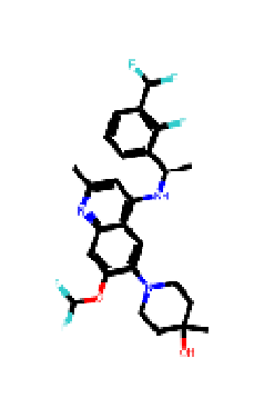 Cc1cc(N[C@H](C)c2cccc(C(F)F)c2F)c2cc(N3CCC(C)(O)CC3)c(OC(F)F)cc2n1